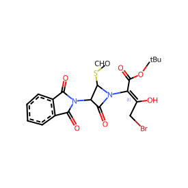 CC(C)(C)OC(=O)/C(=C(\O)CBr)N1C(=O)C(N2C(=O)c3ccccc3C2=O)C1SC=O